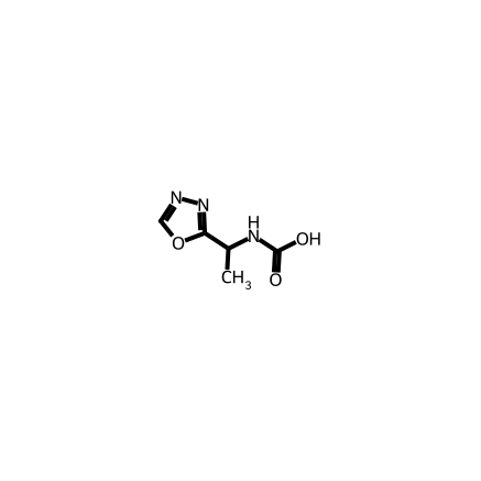 CC(NC(=O)O)c1nnco1